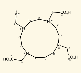 CC(=O)CN1CCN(CC(=O)O)CCCN(CC(=O)O)CCN(CC(=O)O)CC1